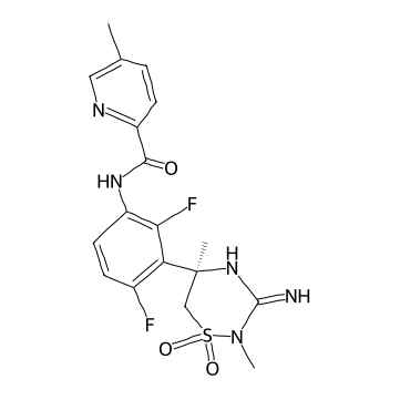 Cc1ccc(C(=O)Nc2ccc(F)c([C@]3(C)CS(=O)(=O)N(C)C(=N)N3)c2F)nc1